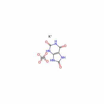 O=c1[nH]c(=O)c2[nH]c(=O)[nH]c2[nH]1.[K+].[O]=[Mn](=[O])(=[O])[O-]